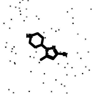 Cc1cc(Br)nn1C1CCNCC1